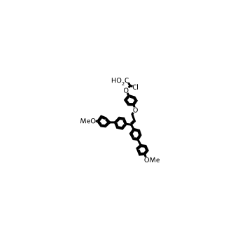 COc1ccc(-c2ccc(C(=CCOc3ccc(OC(Cl)C(=O)O)cc3)c3ccc(-c4ccc(OC)cc4)cc3)cc2)cc1